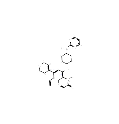 C=CC/C(=C\C(O[C@H]1CC[C@@H](Nc2ncccn2)CC1)=C1/CN=CC(=O)N1C)C1=CCOCC1